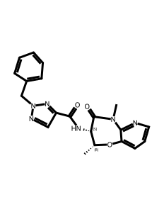 C[C@H]1Oc2cccnc2N(C)C(=O)[C@H]1NC(=O)c1cnn(Cc2ccccc2)n1